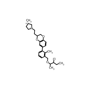 CCC(Cl)C(C)OCc1cccc(-c2ccc3c(c2)OC(CCN2CC[C@H](C)C2)CO3)c1C